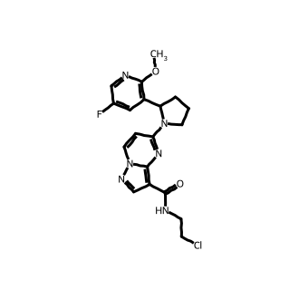 COc1ncc(F)cc1C1CCCN1c1ccn2ncc(C(=O)NCCCl)c2n1